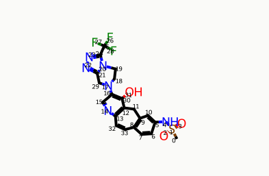 CS(=O)(=O)Nc1ccc2c(c1)Cc1c(ncc(N3CCn4c(nnc4C(F)(F)F)C3)c1O)C=C2